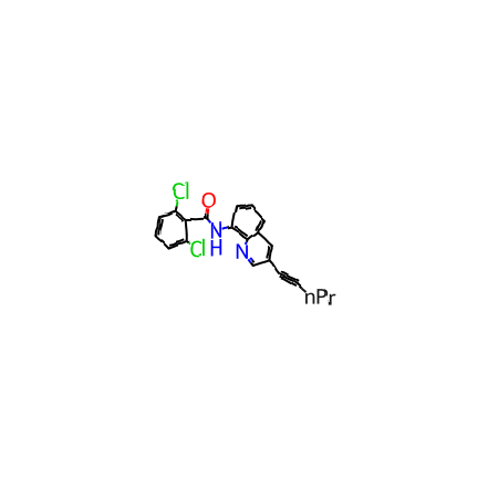 CCCC#Cc1cnc2c(NC(=O)c3c(Cl)cccc3Cl)cccc2c1